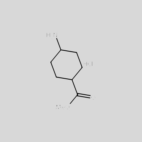 COC(=O)C1CCC(N)CC1.Cl